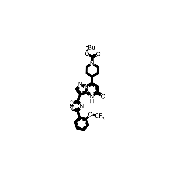 CC(C)(C)OC(=O)N1CCC(c2cc(=O)[nH]c3c(-c4nc(-c5ccccc5OC(F)(F)F)no4)cnn23)CC1